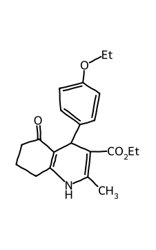 CCOC(=O)C1=C(C)NC2=C(C(=O)CCC2)C1c1ccc(OCC)cc1